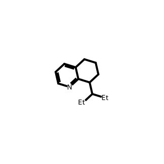 CCC(CC)C1CCCc2cccnc21